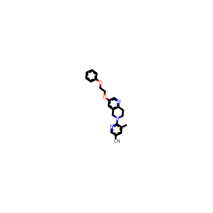 Cc1cc(C#N)cnc1N1CCc2ncc(OCCOc3ccccc3)cc2C1